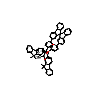 CC(C(C)(C)C)C(C)(c1ccc(-c2ccc3c(c2)C2(c4ccccc4-c4ccc(-c5ccc(N(c6ccc7c(c6)C(C)(C)c6ccccc6-7)c6ccc7c(c6)C(C)(C)c6ccccc6-7)cc5)cc42)c2ccccc2-3)cc1)C(C)(C)C